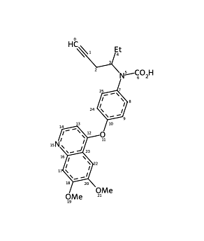 C#CCC(CC)N(C(=O)O)c1ccc(Oc2ccnc3cc(OC)c(OC)cc23)cc1